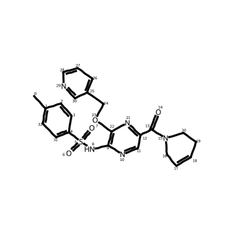 Cc1ccc(S(=O)(=O)Nc2ncc(C(=O)N3CC=CCC3)nc2OCc2cccnc2)cc1